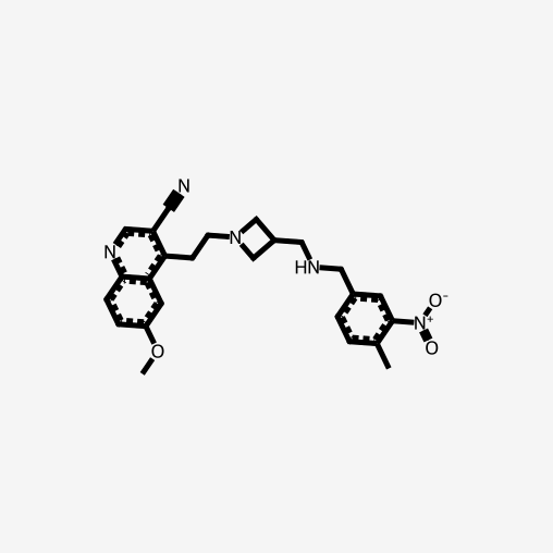 COc1ccc2ncc(C#N)c(CCN3CC(CNCc4ccc(C)c([N+](=O)[O-])c4)C3)c2c1